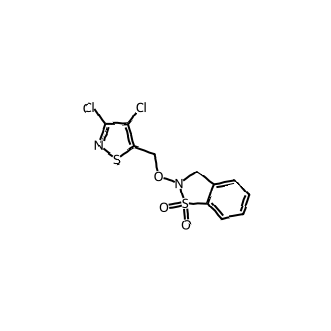 O=S1(=O)c2ccccc2CN1OCc1snc(Cl)c1Cl